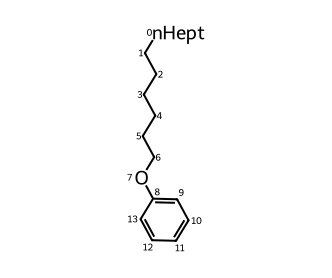 CCCCCCCCCCCCCOc1ccccc1